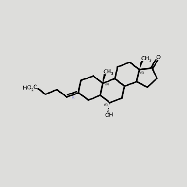 C[C@]12CC/C(=C\CCC(=O)O)CC1[C@@H](O)CC1C2CC[C@]2(C)C(=O)CCC12